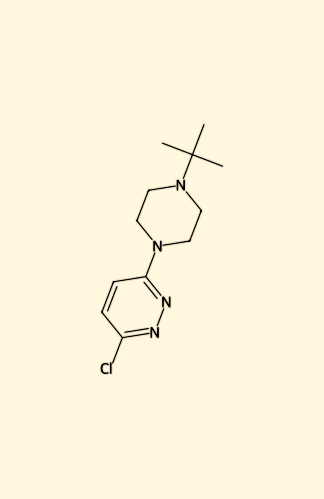 CC(C)(C)N1CCN(c2ccc(Cl)nn2)CC1